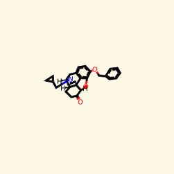 O=C1CC[C@@H]2[C@@H]3Cc4ccc(OCc5ccccc5)c5c4[C@]2(CCN3CC2CC2)[C@@H]1O5